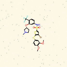 COc1ccc(Sc2sc(S(=O)(=O)Nc3ccc(C(F)(F)F)c(O[C@@H]4CCN(C)C4)c3)cc2Br)cc1OC